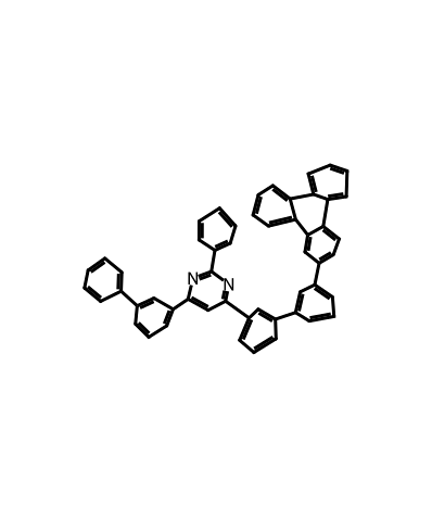 c1ccc(-c2cccc(-c3cc(-c4cccc(-c5cccc(-c6ccc7c8ccccc8c8ccccc8c7c6)c5)c4)nc(-c4ccccc4)n3)c2)cc1